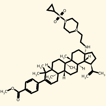 C=C(C)[C@@H]1CC[C@]2(NCCN3CCN(S(=O)(=O)C4CC4)CC3)CC[C@]3(C)[C@H](CC[C@@H]4[C@@]5(C)CC=C(c6ccc(C(=O)OC)cc6)C(C)(C)[C@@H]5CC[C@]43C)[C@@H]12